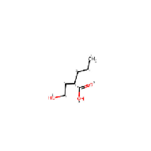 CCCCCCO.O=CO